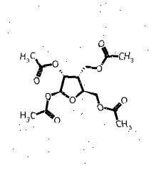 CC(=O)OC[C@H]1[C@@H](OC(C)=O)[C@H](OC(C)=O)O[C@@H]1COC(C)=O